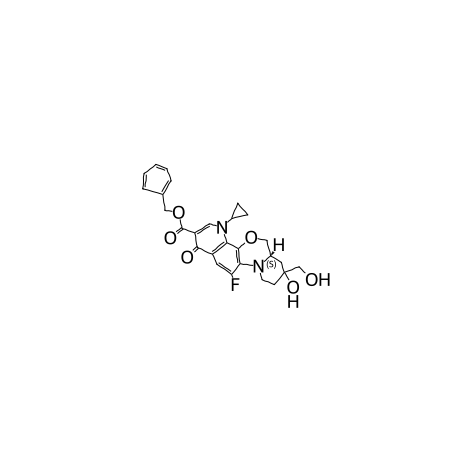 O=C(OCc1ccccc1)c1cn(C2CC2)c2c3c(c(F)cc2c1=O)N1CCC(O)(CO)C[C@H]1CO3